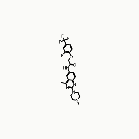 Cc1nc(N2CCN(C)CC2)nc2ccc(NC(=O)COc3ccc(C(F)(F)F)cc3F)cc12